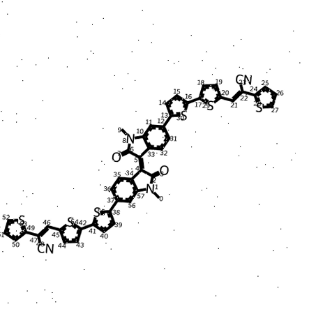 CN1C(=O)/C(=C2/C(=O)N(C)c3cc(-c4ccc(-c5ccc(/C=C(\C#N)c6cccs6)s5)s4)ccc32)c2ccc(-c3ccc(-c4ccc(/C=C(\C#N)c5cccs5)s4)s3)cc21